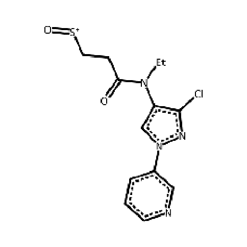 CCN(C(=O)CC[S+]=O)c1cn(-c2cccnc2)nc1Cl